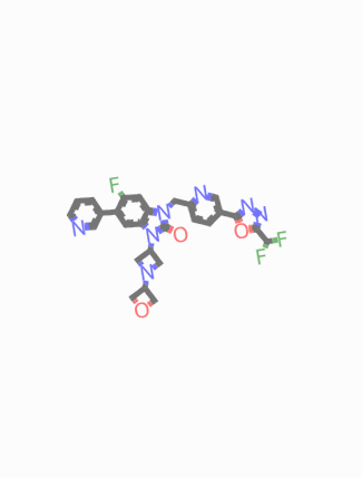 O=c1n(Cc2ccc(-c3nnc(C(F)F)o3)cn2)c2cc(F)c(-c3cccnc3)cc2n1C1CN(C2COC2)C1